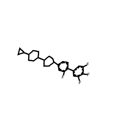 Fc1cc(C2CCC(C3CCC(C4CC4)CC3)CC2)ccc1-c1cc(F)c(F)c(F)c1